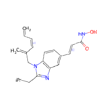 C=C/C=C\C(=C)Cn1c(CC(C)C)nc2cc(/C=C/C(=O)NO)ccc21